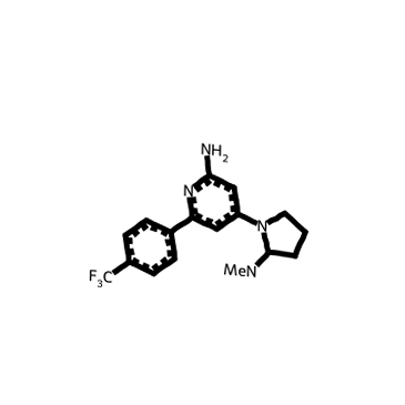 CNC1CCCN1c1cc(N)nc(-c2ccc(C(F)(F)F)cc2)c1